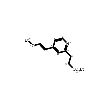 CCO/C=C/c1ccnc(CCC(=O)OCC)c1